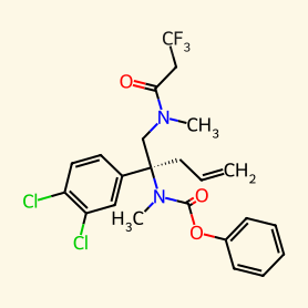 C=CC[C@@](CN(C)C(=O)CC(F)(F)F)(c1ccc(Cl)c(Cl)c1)N(C)C(=O)Oc1ccccc1